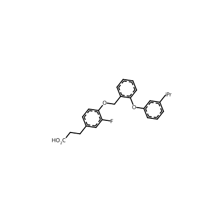 CC(C)c1cccc(Oc2ccccc2COc2ccc(CCC(=O)O)cc2F)c1